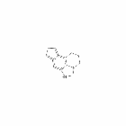 C1=c2cc3c4c(c2=CC1)CCCN4CN3